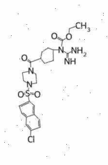 CCOC(=O)N(C(=N)N)C1CCC(C(=O)N2CCN(S(=O)(=O)c3ccc4cc(Cl)ccc4c3)CC2)CC1